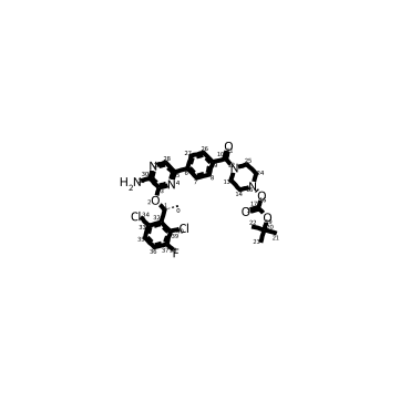 C[C@@H](Oc1nc(-c2ccc(C(=O)N3CCN(OC(=O)OC(C)(C)C)CC3)cc2)cnc1N)c1c(Cl)ccc(F)c1Cl